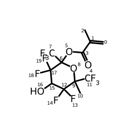 C=C(C)C(=O)OC1(C(F)(F)F)OC(C)(C(F)(F)F)C(F)(F)C(O)C1(F)F